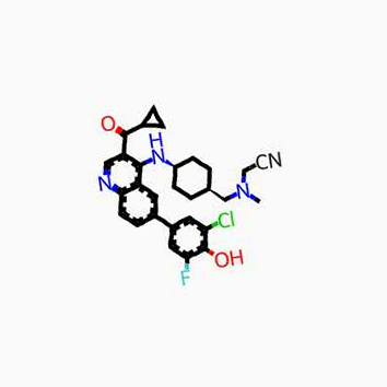 CN(CC#N)C[C@H]1CC[C@@H](Nc2c(C(=O)C3CC3)cnc3ccc(-c4cc(F)c(O)c(Cl)c4)cc23)CC1